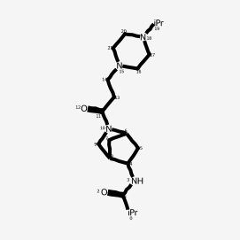 CC(C)C(=O)NC1CC2CC1CN2C(=O)CCN1CCN(C(C)C)CC1